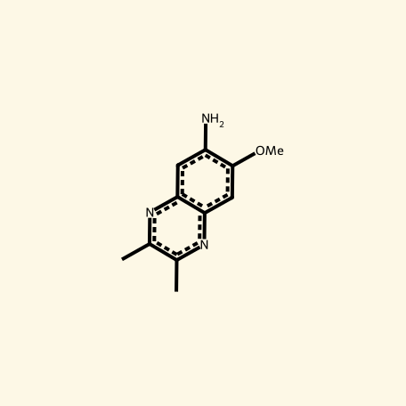 COc1cc2nc(C)c(C)nc2cc1N